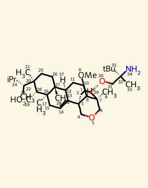 COC1C[C@@]23COC[C@@](C)([C@@H]2CC[C@H]2C3=CC[C@@]3(C)[C@H](C(=O)O)[C@@](C)([C@H](C)C(C)C)CC[C@]23C)[C@H]1OC[C@](C)(N)C(C)(C)C